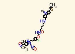 CCn1c2ccc(CNCCCCCCC(=O)NCCOc3ccc(CCc4nc5cc(-c6c(C)noc6C)ccc5n4CCN4CCOCC4)cc3F)cc2c2ccc(-c3cc(C)cs3)cc21